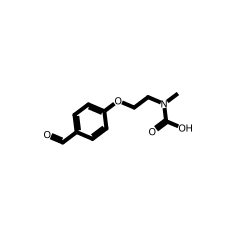 CN(CCOc1ccc(C=O)cc1)C(=O)O